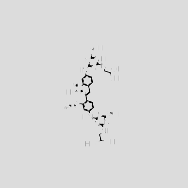 COc1nc(NCC(C)O)nc(Nc2ccc(C=Cc3ccc(Nc4nc(NCC(C)O)nc(OC)n4)cc3S(=O)(=O)O)c(SOOO)c2)n1